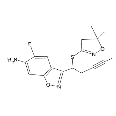 CC#CCC(SC1=NOC(C)(C)C1)c1noc2cc(N)c(F)cc12